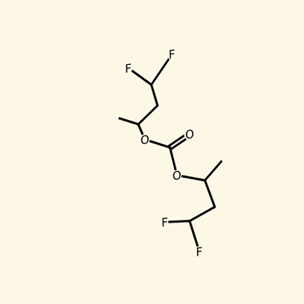 CC(CC(F)F)OC(=O)OC(C)CC(F)F